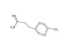 N=C(N)CCc1ccc(C(F)(F)F)cc1